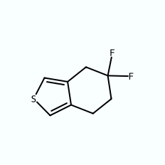 FC1(F)CCc2cscc2C1